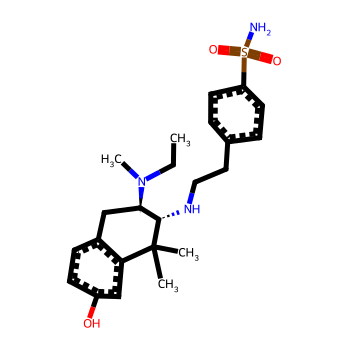 CCN(C)[C@@H]1Cc2ccc(O)cc2C(C)(C)[C@H]1NCCc1ccc(S(N)(=O)=O)cc1